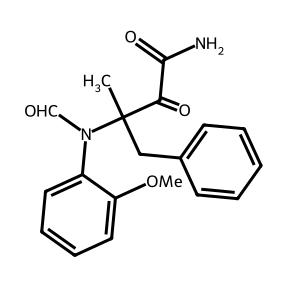 COc1ccccc1N(C=O)C(C)(Cc1ccccc1)C(=O)C(N)=O